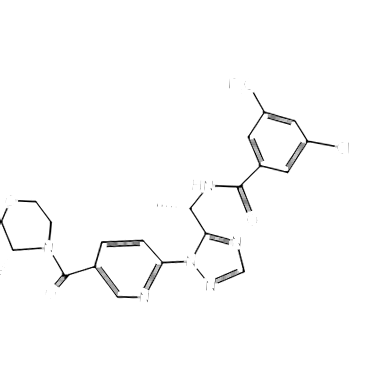 C[C@H](NC(=O)c1cc(Cl)cc(C(F)(F)F)c1)c1ncnn1-c1ccc(C(=O)N2CCOC[C@H]2C)cn1